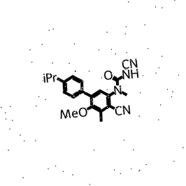 COc1c(-c2ccc(C(C)C)cc2)cc(N(C)C(=O)NC#N)c(C#N)c1C